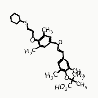 Cc1cc(C(=O)/C=C/c2cc(C)c(OC(C)(C)C(=O)O)c(C)c2)cc(C)c1OCCSC1CCCCC1